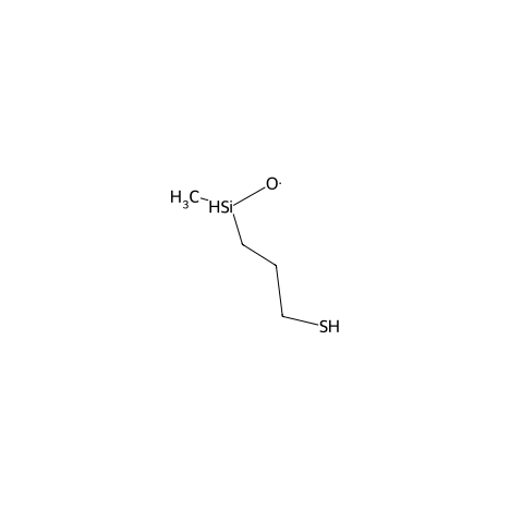 C[SiH]([O])CCCS